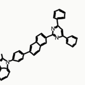 Cc1nc2ccccc2n1-c1ccc(-c2ccc3cc(-c4nc(-c5ccccc5)cc(-c5ccccc5)n4)ccc3c2)cc1